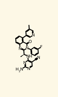 Cc1cncc(-c2cccc3nc([C@H](C)Nc4nc(N)ncc4C#N)n(-c4cccc(F)c4)c(=O)c23)c1